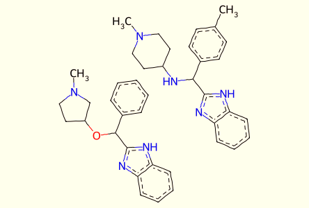 CN1CCC(OC(c2ccccc2)c2nc3ccccc3[nH]2)C1.Cc1ccc(C(NC2CCN(C)CC2)c2nc3ccccc3[nH]2)cc1